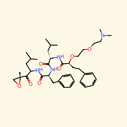 CC(C)CC(NC(=O)[C@H](Cc1ccccc1)NC(=O)[C@H](CC(C)C)NC(=O)[C@H](CCc1ccccc1)OCCOCCN(C)C)C(=O)[C@@]1(C)CO1